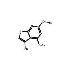 CCOc1cc(OC)c2c(C#N)csc2n1